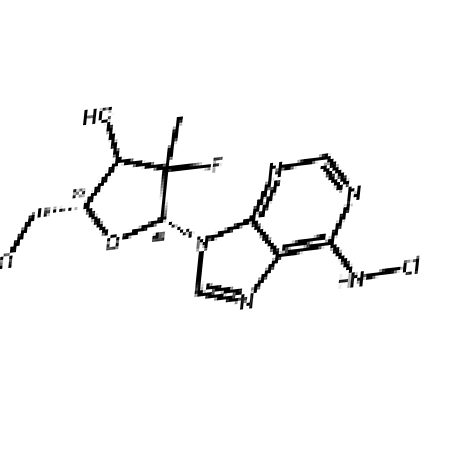 CC1(F)C(O)[C@@H](CO)O[C@H]1n1cnc2c(NCl)ncnc21